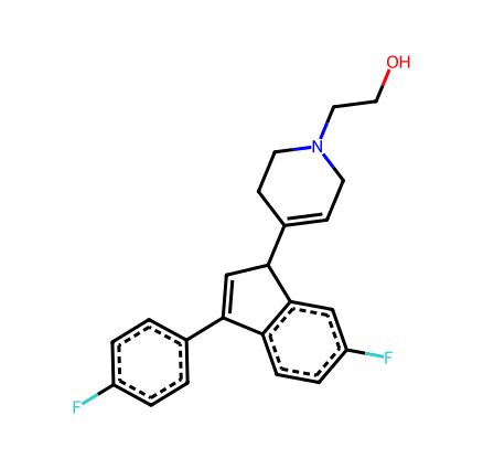 OCCN1CC=C(C2C=C(c3ccc(F)cc3)c3ccc(F)cc32)CC1